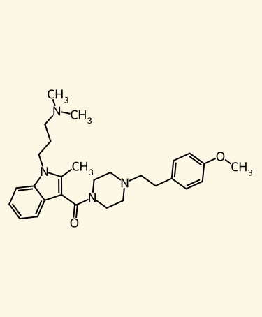 COc1ccc(CCN2CCN(C(=O)c3c(C)n(CCCN(C)C)c4ccccc34)CC2)cc1